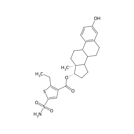 CCc1sc(S(N)(=O)=O)cc1C(=O)O[C@H]1CCC2C3CCc4cc(O)ccc4C3CC[C@@]21C